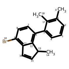 Cc1cccc(-c2ccc(Br)c3c2C(C)C=C3)c1C